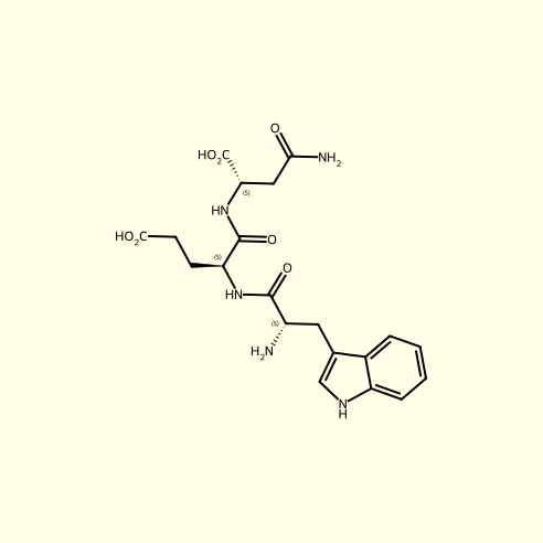 NC(=O)C[C@H](NC(=O)[C@H](CCC(=O)O)NC(=O)[C@@H](N)Cc1c[nH]c2ccccc12)C(=O)O